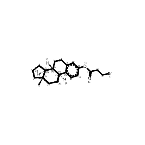 C[C@@]12CCC[C@H]1[C@@H]1CCc3cc(OC(=O)CCBr)ccc3[C@H]1CC2